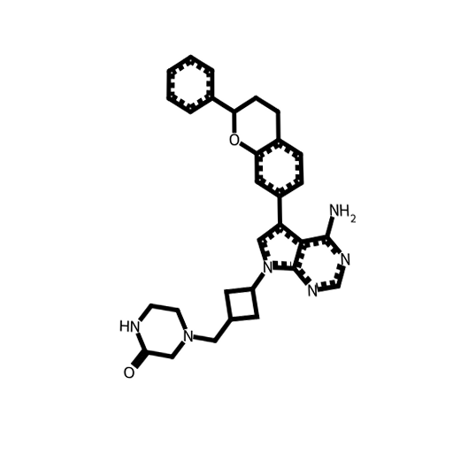 Nc1ncnc2c1c(-c1ccc3c(c1)OC(c1ccccc1)CC3)cn2C1CC(CN2CCNC(=O)C2)C1